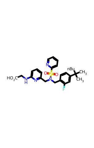 CCCCC(C)(C)c1ccc(CN(Cc2cccc(NCC(=O)O)n2)S(=O)(=O)c2ccccn2)c(F)c1